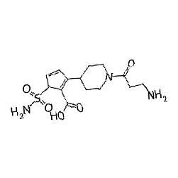 NCCC(=O)N1CCC(C2=C(C(=O)O)C(S(N)(=O)=O)C=C2)CC1